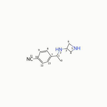 CC(NC1CNC1)c1ccc(C#N)cc1